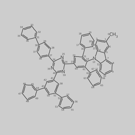 Cc1ccc2c(c1)c1ccccc1n2-c1c(-c2ccccc2)cc(-c2nc(-c3ccc(-c4ccccc4)cc3)nc(-c3cc(-c4ccccc4)cc(-c4ccccc4)c3)n2)cc1-c1ccccc1